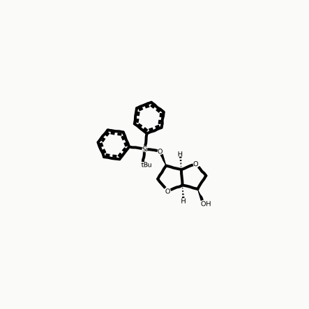 CC(C)(C)[Si](O[C@@H]1CO[C@H]2[C@@H]1OC[C@H]2O)(c1ccccc1)c1ccccc1